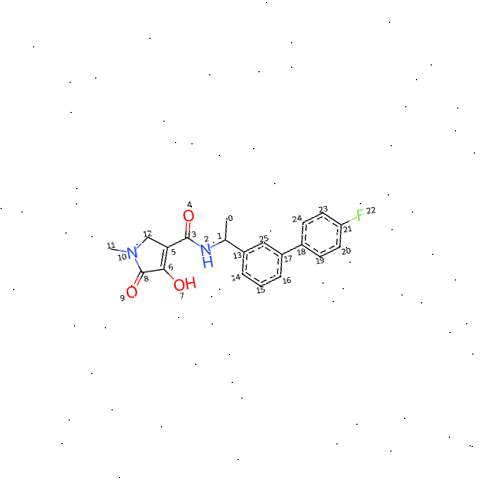 CC(NC(=O)C1=C(O)C(=O)N(C)C1)c1cccc(-c2ccc(F)cc2)c1